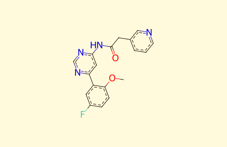 COc1ccc(F)cc1-c1cc(NC(=O)Cc2cccnc2)ncn1